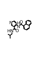 CC(C)CNC(=O)c1cnccc1NC(=O)c1cccc2ccccc12